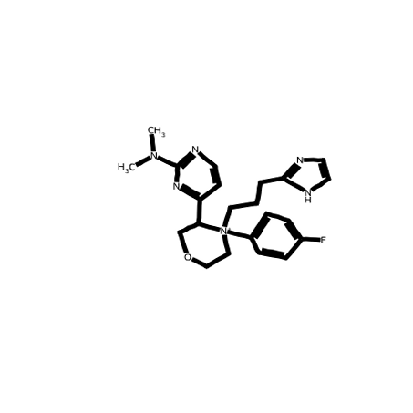 CN(C)c1nccc(C2COCC[N+]2(CCCc2ncc[nH]2)c2ccc(F)cc2)n1